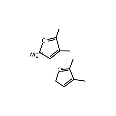 CC1=[C-]CC=C1C.CC1=[C-]CC=C1C.[Mg+2]